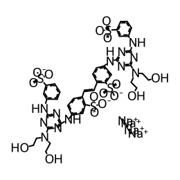 O=S(=O)([O-])c1cccc(Nc2nc(Nc3ccc(C=Cc4ccc(Nc5nc(Nc6cccc(S(=O)(=O)[O-])c6)nc(N(CCO)CCO)n5)cc4S(=O)(=O)[O-])c(S(=O)(=O)[O-])c3)nc(N(CCO)CCO)n2)c1.[Na+].[Na+].[Na+].[Na+]